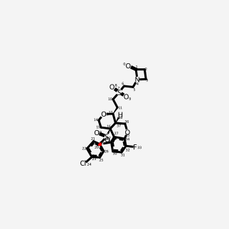 O=C1CCN1CCS(=O)(=O)CC[C@@H]1OCC[C@@]2(S(=O)(=O)c3ccc(Cl)cc3)c3c(F)ccc(F)c3OC[C@@H]12